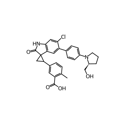 Cc1ccc(C2CC23C(=O)Nc2cc(Cl)c(-c4ccc(N5CCC[C@H]5CO)cc4)cc23)cc1C(=O)O